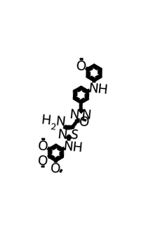 COc1cccc(Nc2cccc(-c3noc(-c4sc(Nc5cc(OC)c(OC)c(OC)c5)nc4N)n3)c2)c1